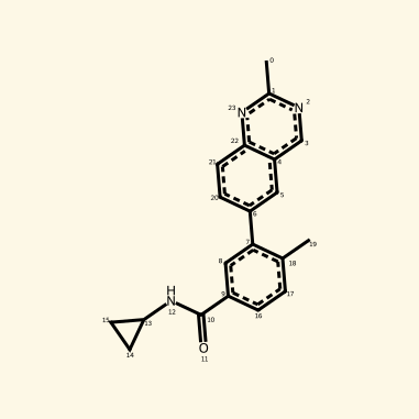 Cc1ncc2cc(-c3cc(C(=O)NC4CC4)ccc3C)ccc2n1